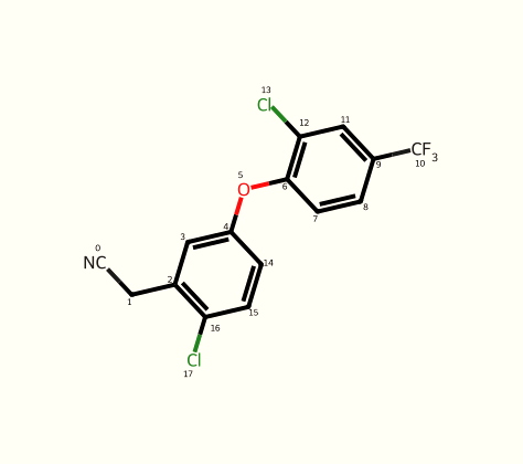 N#CCc1cc(Oc2ccc(C(F)(F)F)cc2Cl)ccc1Cl